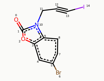 O=c1oc2cc(Br)ccc2n1CC#CI